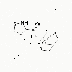 O=C(NC12CC3CC(CC(C3)C1)C2)C1CCSN1